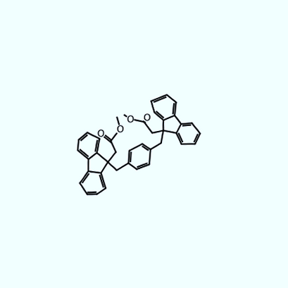 COC(=O)CC1(Cc2ccc(CC3(CC(=O)OC)c4ccccc4-c4ccccc43)cc2)c2ccccc2-c2ccccc21